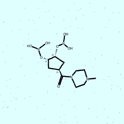 CN1CCN(C(=O)[C@H]2C[C@H](ON(O)O)[C@H](ON(O)O)C2)CC1